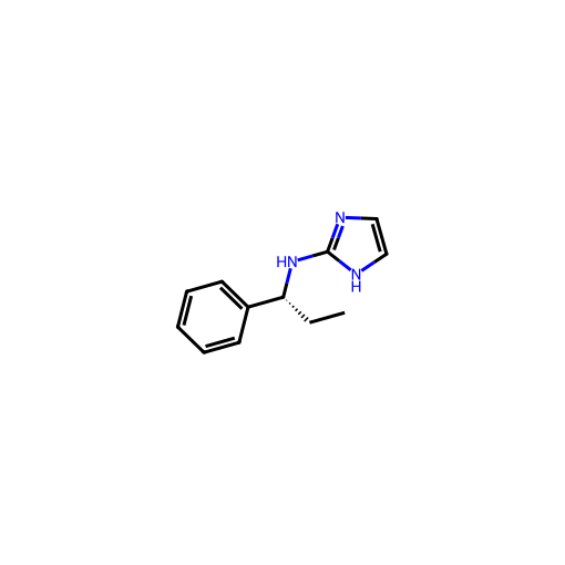 CC[C@@H](Nc1ncc[nH]1)c1ccccc1